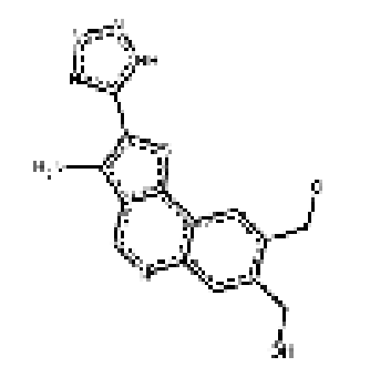 Nc1c(-c2nnn[nH]2)sc2c1cnc1cc(CO)c(CO)cc12